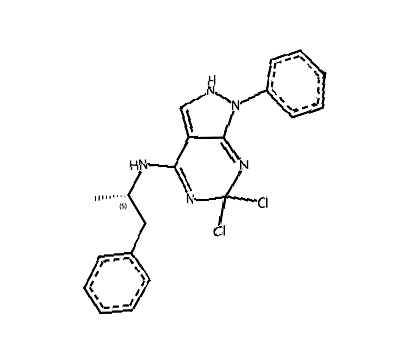 C[C@@H](Cc1ccccc1)NC1=NC(Cl)(Cl)N=C2C1=CNN2c1ccccc1